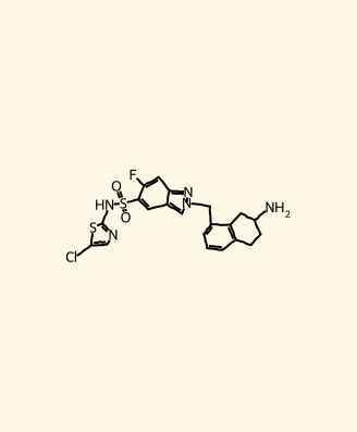 NC1CCc2cccc(Cn3cc4cc(S(=O)(=O)Nc5ncc(Cl)s5)c(F)cc4n3)c2C1